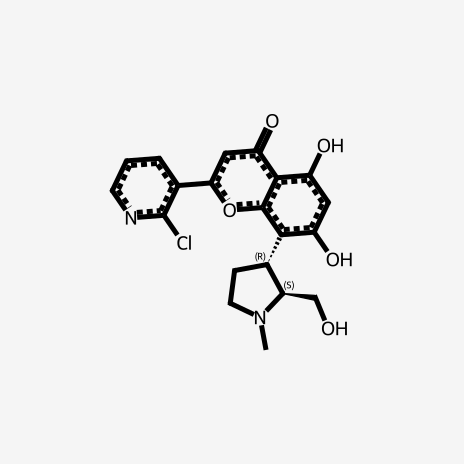 CN1CC[C@H](c2c(O)cc(O)c3c(=O)cc(-c4cccnc4Cl)oc23)[C@H]1CO